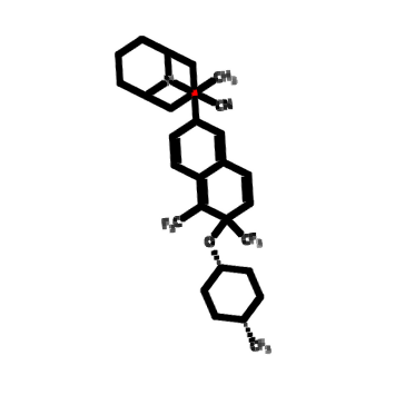 CC(C1C=CC2=C(C(F)(F)F)C(O[C@H]3CC[C@@H](C(F)(F)F)CC3)(C(F)(F)F)C=CC2=C1)N1C2CCCC1CC(C#N)C2